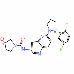 O=C(Nc1cnc2ccc(N3CCC[C@@H]3c3cc(F)ccc3F)nc2c1)N1CC[C@H](O)C1